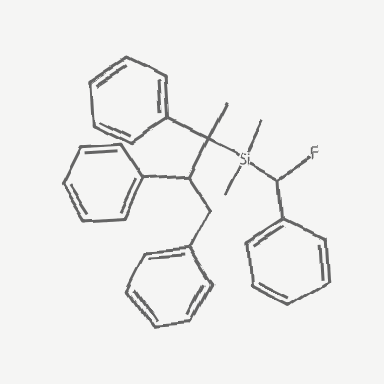 CC(c1ccccc1)(C(Cc1ccccc1)c1ccccc1)[Si](C)(C)C(F)c1ccccc1